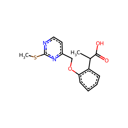 CSc1nccc(COc2ccccc2C(C)C(=O)O)n1